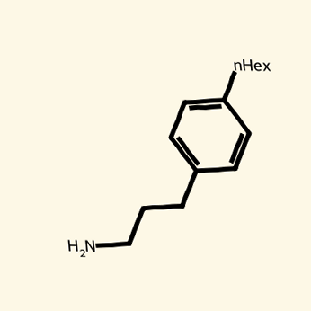 CCCCCCc1ccc(CCCN)cc1